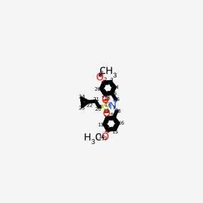 COc1ccc(CN(Cc2ccc(OC)cc2)S(=O)(=O)CCC2CC2)cc1